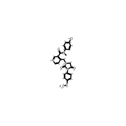 CN(C(=O)c1cnccc1CN1CC(=O)N(c2ccc(SC(F)(F)F)cc2)C1=O)c1ccc(Cl)cc1